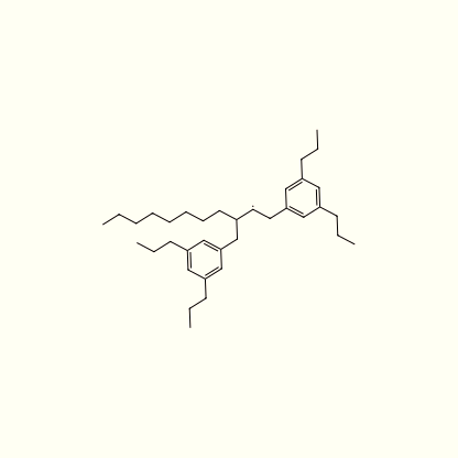 CCCCCCCCC([CH]Cc1cc(CCC)cc(CCC)c1)Cc1cc(CCC)cc(CCC)c1